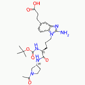 CC(=O)N1CC[C@@H](NC(=O)[C@H](CCCn2c(N)nc3cc(CCC(=O)O)ccc32)NC(=O)OC(C)(C)C)C1